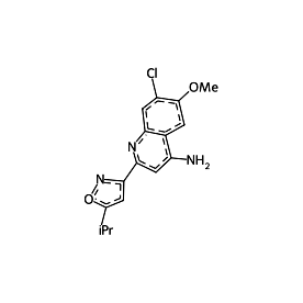 COc1cc2c(N)cc(-c3cc(C(C)C)on3)nc2cc1Cl